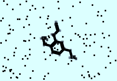 CCc1ccc(CC)c(OC=O)c1